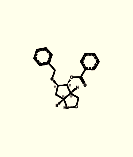 O=C(O[C@@H]1[C@@H]2CON[C@@H]2C[C@H]1OCc1ccccc1)c1ccccc1